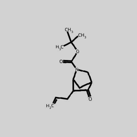 C=CCC1C(=O)C2CC1N(C(=O)OC(C)(C)C)C2